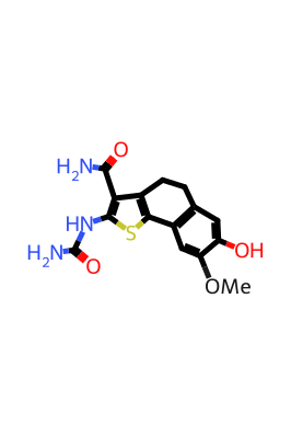 COc1cc2c(cc1O)CCc1c-2sc(NC(N)=O)c1C(N)=O